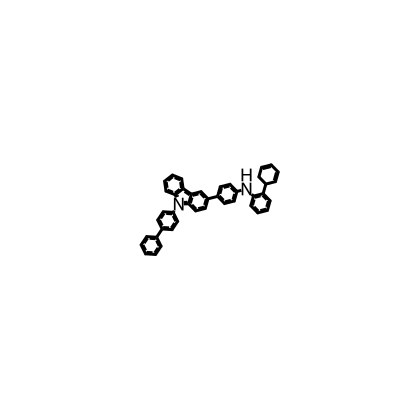 C1=CCC(c2ccccc2Nc2ccc(-c3ccc4c(c3)c3ccccc3n4-c3ccc(-c4ccccc4)cc3)cc2)C=C1